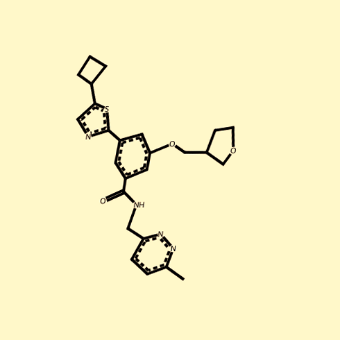 Cc1ccc(CNC(=O)c2cc(OCC3CCOC3)cc(-c3ncc(C4CCC4)s3)c2)nn1